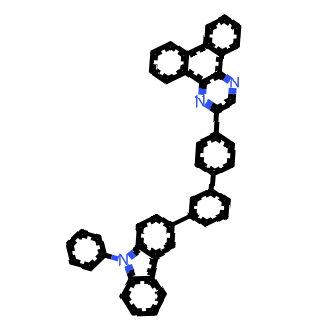 c1ccc(-n2c3ccccc3c3cc(-c4cccc(-c5ccc(-c6cnc7c8ccccc8c8ccccc8c7n6)cc5)c4)ccc32)cc1